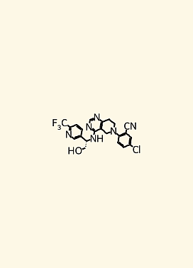 N#Cc1cc(Cl)ccc1N1CCc2ncnc(N[C@H](CO)c3ccc(C(F)(F)F)nc3)c2C1